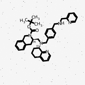 CC(C)(C)OC(=O)N1Cc2ccccc2C[C@@H]1CN(Cc1ccc(CNCc2ccccn2)cc1)[C@H]1CCCc2cccnc21